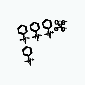 C[N+](C)(C)c1ccccc1.C[N+](C)(C)c1ccccc1.C[N+](C)(C)c1ccccc1.C[N+](C)(C)c1ccccc1.[O-][Si]([O-])([O-])[O-]